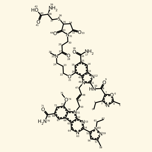 CCc1nc(C)oc1C(=O)Nc1nc2cc(C(N)=O)cc(OCCCN(C)C(=O)CCN3C(=O)CC(SC[C@H](N)C(=O)O)C3=O)c2n1C/C=C/Cn1c2nc(-c3cc(C)nn3CC)ncc2c2cc(C(N)=O)cc(OC)c21